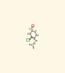 O=Cc1ccc(CC2CC2)c(Cl)c1